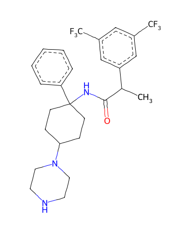 CC(C(=O)NC1(c2ccccc2)CCC(N2CCNCC2)CC1)c1cc(C(F)(F)F)cc(C(F)(F)F)c1